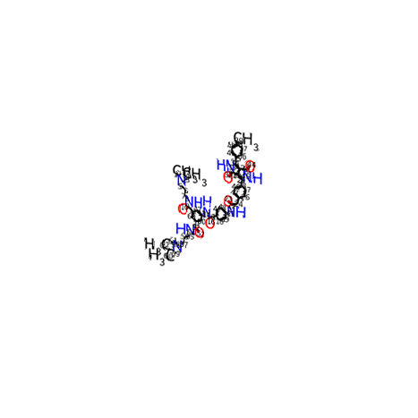 CCN(CC)CCCNC(=O)c1cc(NC(=O)c2ccc(NC(=O)Cc3ccc(C4=C5C(=O)NC(c6ccc(C)cc6)=C5C(=O)N4)cc3)cc2)cc(C(=O)NCCCN(CC)CC)c1